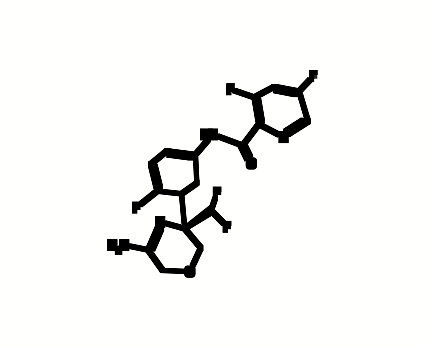 NC1=N[C@](C(F)F)(C2CC(NC(=O)c3ncc(F)cc3F)=CC=C2F)COC1